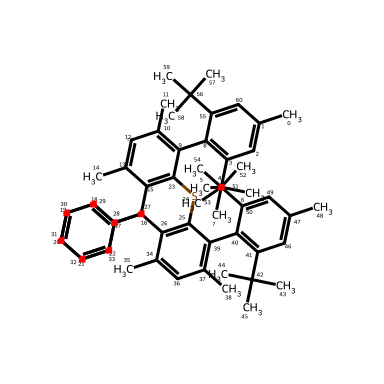 Cc1cc(C(C)(C)C)c(-c2c(C)[c]c(C)c(Cc3ccccc3)c2Sc2c(Cc3ccccc3)c(C)[c]c(C)c2-c2c(C(C)(C)C)cc(C)cc2C(C)(C)C)c(C(C)(C)C)c1